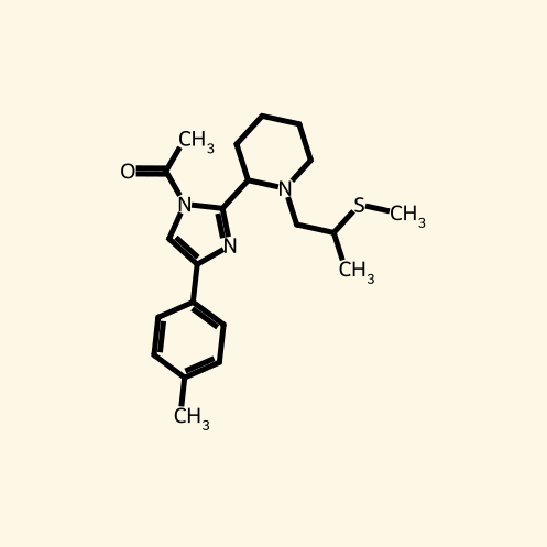 CSC(C)CN1CCCCC1c1nc(-c2ccc(C)cc2)cn1C(C)=O